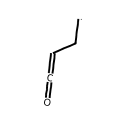 [CH2]CC=C=O